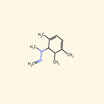 C=NN(C)C1C(C)=CC=C(C)C1C